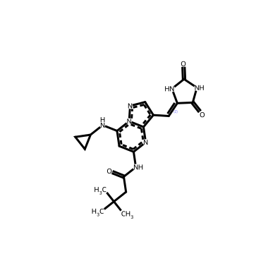 CC(C)(C)CC(=O)Nc1cc(NC2CC2)n2ncc(/C=C3\NC(=O)NC3=O)c2n1